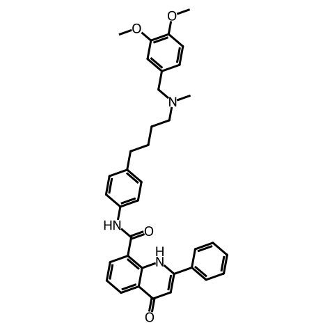 COc1ccc(CN(C)CCCCc2ccc(NC(=O)c3cccc4c(=O)cc(-c5ccccc5)[nH]c34)cc2)cc1OC